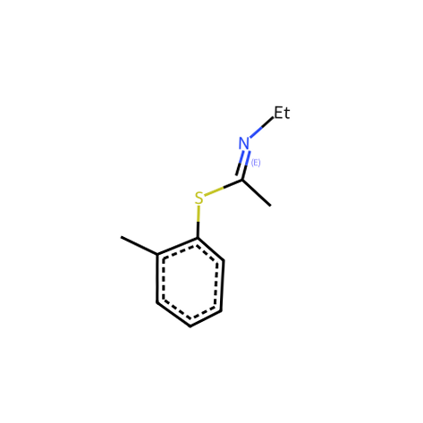 CC/N=C(\C)Sc1ccccc1C